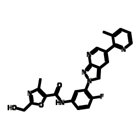 Cc1cccnc1-c1cnc2nn(-c3cc(NC(=O)c4oc(CO)nc4C)ccc3F)cc2c1